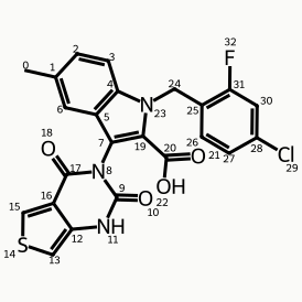 Cc1ccc2c(c1)c(-n1c(=O)[nH]c3cscc3c1=O)c(C(=O)O)n2Cc1ccc(Cl)cc1F